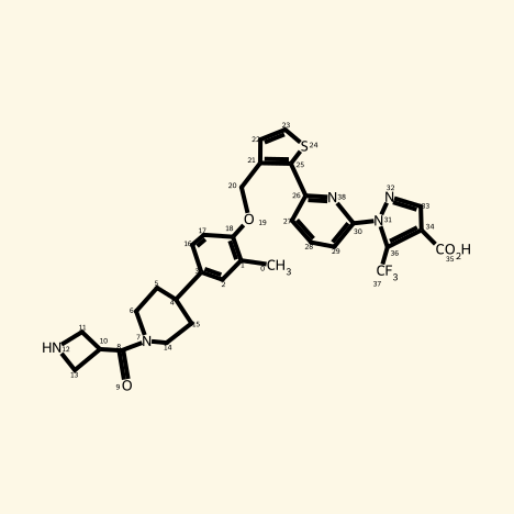 Cc1cc(C2CCN(C(=O)C3CNC3)CC2)ccc1OCc1ccsc1-c1cccc(-n2ncc(C(=O)O)c2C(F)(F)F)n1